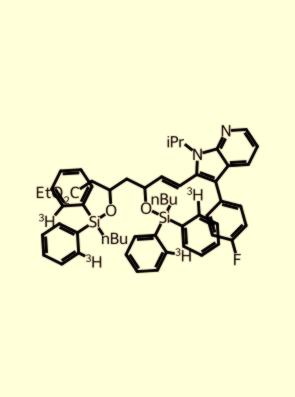 [3H]c1ccccc1[Si](CCCC)(OC(C=Cc1c(-c2ccc(F)cc2)c2cccnc2n1C(C)C)CC(CC(=O)OCC)O[Si](CCCC)(c1ccccc1[3H])c1ccccc1[3H])c1ccccc1[3H]